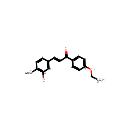 COc1ccc(/C=C/C(=O)c2ccc(OCC(=O)O)cc2)cc1Br